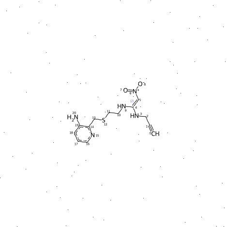 C#CCN/C(=C/[N+](=O)[O-])NCCSCc1ncccc1N